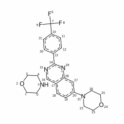 C1COCCN1.FC(F)(F)c1ccc(-c2ncc3ccc(N4CCOCC4)cc3n2)cc1